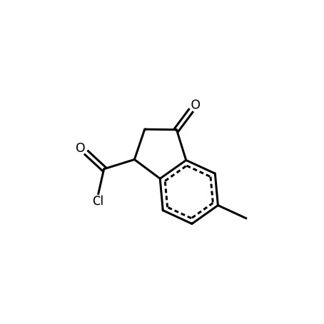 Cc1ccc2c(c1)C(=O)CC2C(=O)Cl